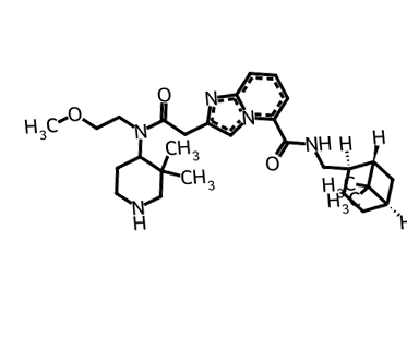 COCCN(C(=O)Cc1cn2c(C(=O)NC[C@@H]3CC[C@@H]4C[C@@H]3C4(C)C)cccc2n1)C1CCNCC1(C)C